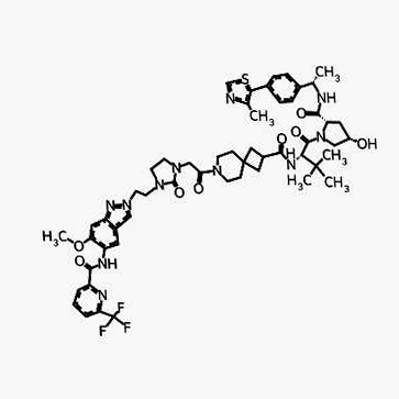 COc1cc2nn(CCN3CCN(CC(=O)N4CCC5(CC4)CC(C(=O)N[C@H](C(=O)N4C[C@H](O)C[C@H]4C(=O)N[C@@H](C)c4ccc(-c6scnc6C)cc4)C(C)(C)C)C5)C3=O)cc2cc1NC(=O)c1cccc(C(F)(F)F)n1